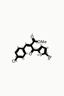 COC(=O)C(=Cc1ccc(Cl)cc1)C(=O)c1ccc(Br)s1